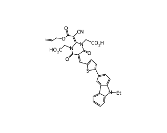 C=CCOC(=O)C(C#N)=c1n(CC(=O)O)c(=O)c(=Cc2ccc(-c3ccc4c(c3)c3ccccc3n4CC)s2)c(=O)n1CC(=O)O